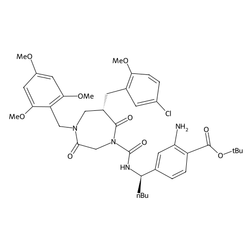 CCCC[C@@H](NC(=O)N1CC(=O)N(Cc2c(OC)cc(OC)cc2OC)C[C@H](Cc2cc(Cl)ccc2OC)C1=O)c1ccc(C(=O)OC(C)(C)C)c(N)c1